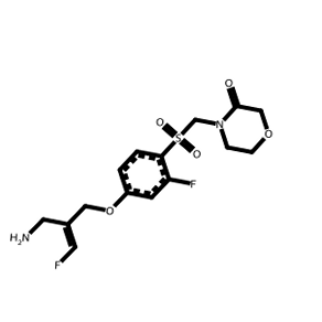 NCC(=CF)COc1ccc(S(=O)(=O)CN2CCOCC2=O)c(F)c1